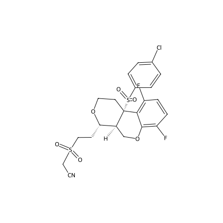 N#CCS(=O)(=O)CC[C@@H]1OCC[C@@]2(S(=O)(=O)c3ccc(Cl)cc3)c3c(F)ccc(F)c3OC[C@@H]12